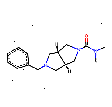 CN(C)C(=O)N1C[C@H]2CN(Cc3ccccc3)C[C@H]2C1